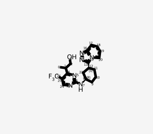 CC(CO)c1nc(N[C@@H]2CCC[C@H](c3nnc4ccccn34)C2)ncc1C(F)(F)F